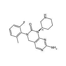 Cc1cccc(F)c1N1Cc2cnc(N)nc2N([C@@H]2CCCNC2)C1=O